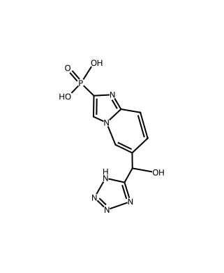 O=P(O)(O)c1cn2cc(C(O)c3nnn[nH]3)ccc2n1